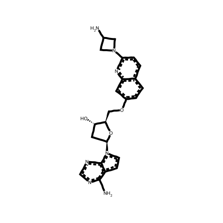 Nc1ncnc2c1ccn2[C@H]1C[C@H](O)[C@@H](COc2ccc3ccc(N4CC(N)C4)nc3c2)O1